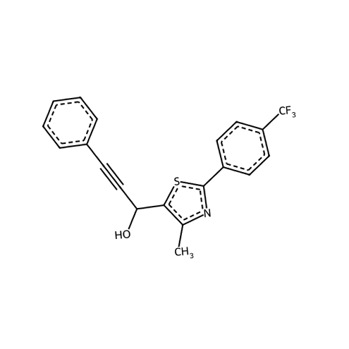 Cc1nc(-c2ccc(C(F)(F)F)cc2)sc1C(O)C#Cc1ccccc1